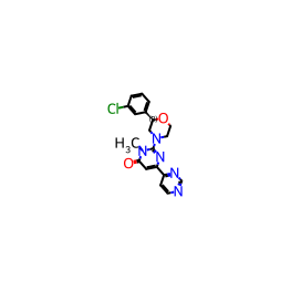 Cn1c(N2CCO[C@H](c3cccc(Cl)c3)C2)nc(-c2ccncn2)cc1=O